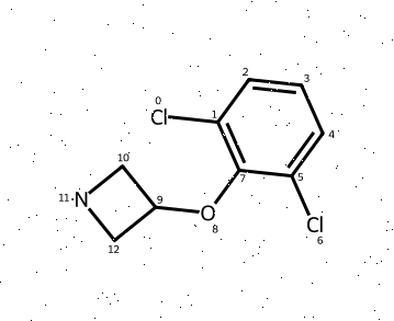 Clc1cccc(Cl)c1OC1C[N]C1